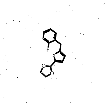 Fc1ccccc1Cc1ccc(C2OCCO2)s1